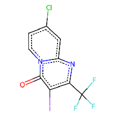 O=c1c(I)c(C(F)(F)F)nc2cc(Cl)ccn12